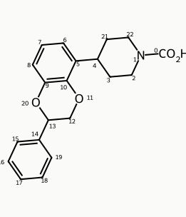 O=C(O)N1CCC(c2cccc3c2OCC(c2ccccc2)O3)CC1